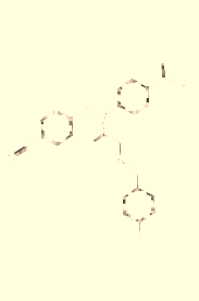 N#Cc1ccc(CN(C(=O)CNCc2ccc(Cl)cc2)c2ccc(C(=O)O)cc2)cc1